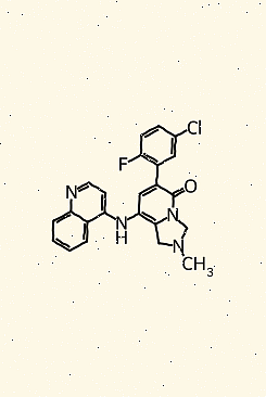 CN1Cc2c(Nc3ccnc4ccccc34)cc(-c3cc(Cl)ccc3F)c(=O)n2C1